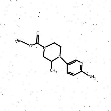 CC1CN(C(=O)OC(C)(C)C)CCN1c1ccc(N)nc1